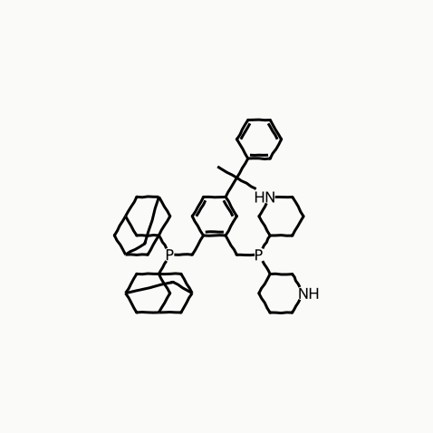 CC(C)(c1ccccc1)c1ccc(CP(C23CC4CC(CC(C4)C2)C3)C23CC4CC(CC(C4)C2)C3)c(CP(C2CCCNC2)C2CCCNC2)c1